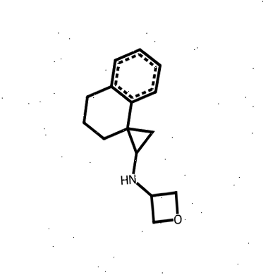 c1ccc2c(c1)CCCC21CC1NC1COC1